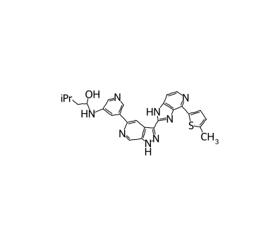 Cc1ccc(-c2nccc3[nH]c(-c4n[nH]c5cnc(-c6cncc(NC(O)CC(C)C)c6)cc45)nc23)s1